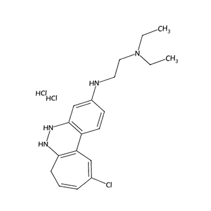 CCN(CC)CCNc1ccc2c(c1)NNC1=C2C=C(Cl)C=CC1.Cl.Cl